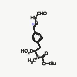 CN(C(=O)OC(C)(C)C)C(Cc1ccc(/C=N/NC=O)cc1)C(=O)O